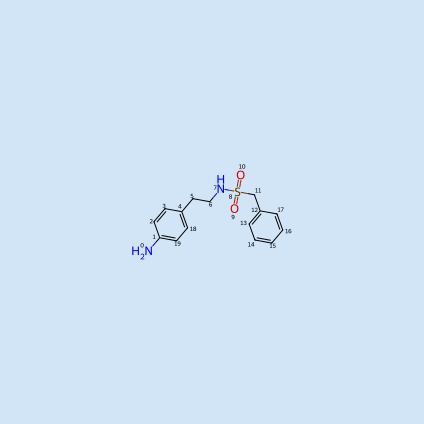 Nc1ccc(CCNS(=O)(=O)Cc2ccccc2)cc1